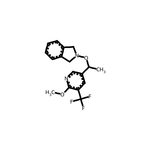 COc1ncc(C(C)ON2Cc3ccccc3C2)cc1C(F)(F)F